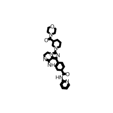 NC1=NCCn2c(N3CCCC(C(=O)N4CCOCC4)C3)nc(C3=CCC(C(=O)Nc4ccccn4)C=C3)c21